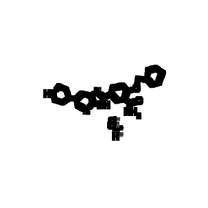 NC(=O)c1cc(-c2nc3cc(C4CCNCC4)cnc3[nH]2)ccc1OCc1ccccc1.[Cl-].[Cl-].[H+].[H+]